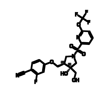 N#Cc1ccc(OC[C@H]2CN(S(=O)(=O)c3cccc(OC(F)(F)F)n3)C[C@@]2(O)CO)cc1F